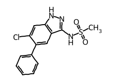 CS(=O)(=O)Nc1n[nH]c2cc(Cl)c(-c3ccccc3)cc12